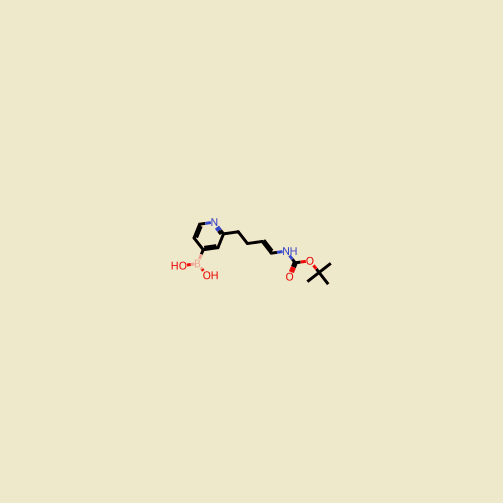 CC(C)(C)OC(=O)NC=CCCc1cc(B(O)O)ccn1